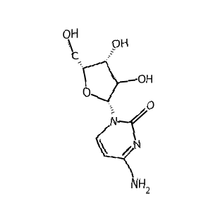 Nc1ccn([C@@H]2O[C@H](CO)[C@H](O)C2O)c(=O)n1